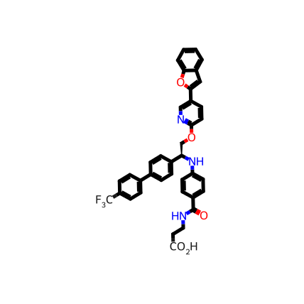 O=C(O)CCNC(=O)c1ccc(N[C@H](COc2ccc(-c3cc4ccccc4o3)cn2)c2ccc(-c3ccc(C(F)(F)F)cc3)cc2)cc1